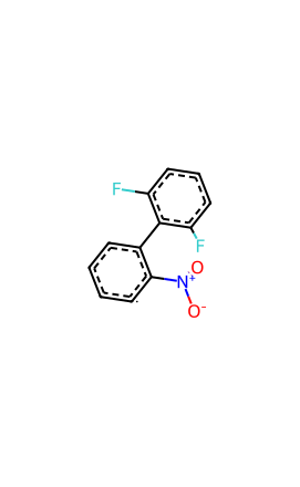 O=[N+]([O-])c1[c]cccc1-c1c(F)cccc1F